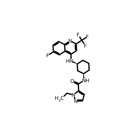 CCn1nccc1C(=O)N[C@@H]1CCC[C@H](Nc2cc(C(F)(F)F)nc3ccc(F)cc23)C1